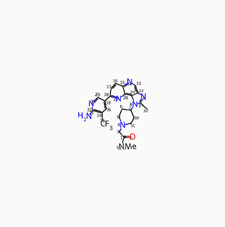 CNC(=O)CN1CCC(n2c(C)nc3cnc4ccc(-c5cnc(N)c(C(F)(F)F)c5)nc4c32)CC1